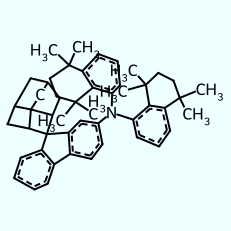 CC1(C)CCC(C)(C)c2c(N(c3ccc4c(c3)C3(c5ccccc5-4)C4CC5CC6CC3C64C5)c3cccc4c3C(C)(C)CCC4(C)C)cccc21